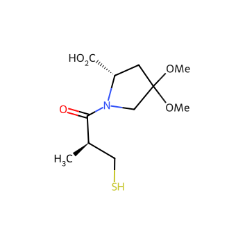 COC1(OC)C[C@@H](C(=O)O)N(C(=O)[C@H](C)CS)C1